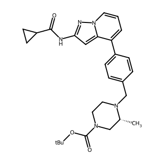 C[C@@H]1CN(C(=O)OC(C)(C)C)CCN1Cc1ccc(-c2cccn3nc(NC(=O)C4CC4)cc23)cc1